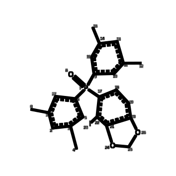 Cc1cc(C)cc(P(=O)(c2cc(C)cc(C)c2)c2ccc3c(c2I)OCO3)c1